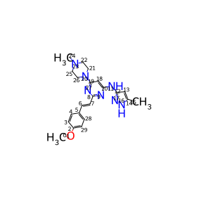 COc1ccc(/C=C/c2nc(Nc3cc(C)[nH]n3)cc(N3CCN(C)CC3)n2)cc1